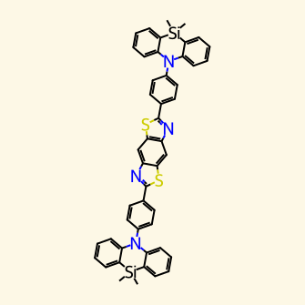 C[Si]1(C)c2ccccc2N(c2ccc(-c3nc4cc5sc(-c6ccc(N7c8ccccc8[Si](C)(C)c8ccccc87)cc6)nc5cc4s3)cc2)c2ccccc21